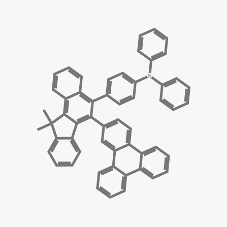 CC1(C)c2ccccc2-c2c(-c3ccc4c5ccccc5c5ccccc5c4c3)c(-c3ccc(N(c4ccccc4)c4ccccc4)cc3)c3ccccc3c21